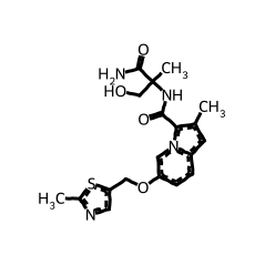 Cc1ncc(COc2ccc3cc(C)c(C(=O)NC(C)(CO)C(N)=O)n3c2)s1